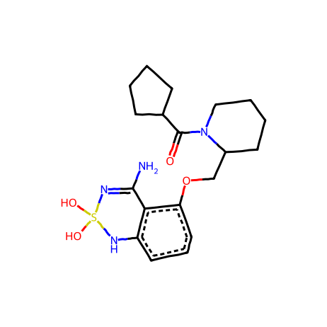 NC1=NS(O)(O)Nc2cccc(OCC3CCCCN3C(=O)C3CCCC3)c21